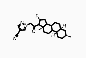 C[C@H]1CC[C@@H]2C3CC[C@@]4(C)C(C[C@H](F)C4C(=O)Cn4cc(C#N)cn4)C3CC[C@@H]2C1